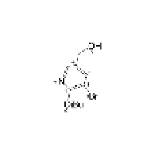 CC(C)COc1ncc(CO)cc1Br